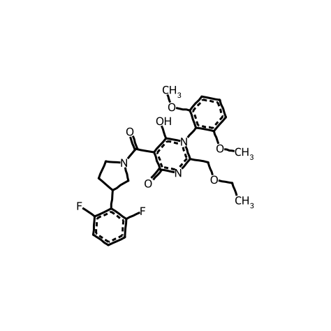 CCOCc1nc(=O)c(C(=O)N2CCC(c3c(F)cccc3F)C2)c(O)n1-c1c(OC)cccc1OC